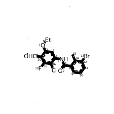 CCOc1cc(NC(=O)c2cccc(Br)c2C)c(Cl)c(F)c1C=O